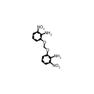 Nc1c(OCOc2cccc([N+](=O)[O-])c2N)cccc1[N+](=O)[O-]